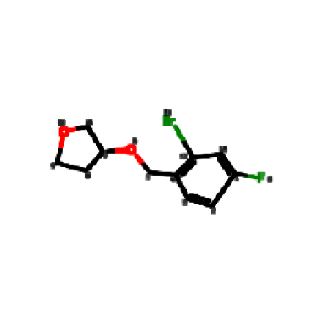 Fc1ccc(CO[C@H]2CCOC2)c(Br)c1